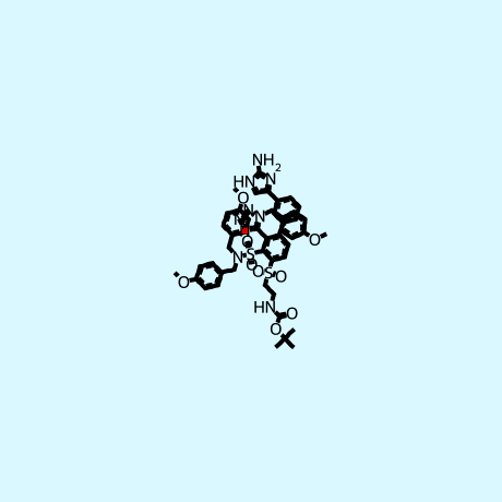 COc1ccc(CN(Cc2ccc(OC)cc2)S(=O)(=O)c2c(S(=O)(=O)CCNC(=O)OC(C)(C)C)ccc(-c3cccc(-c4c[nH]c(N)n4)c3)c2-c2nnnn2Cc2ccc(OC)cc2)cc1